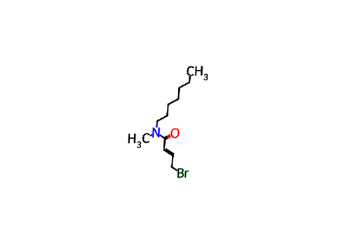 CCCCCCCN(C)C(=O)C=CCBr